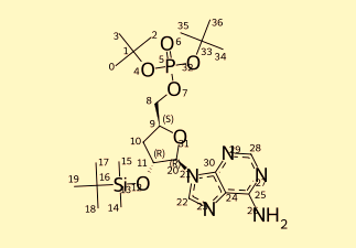 CC(C)(C)OP(=O)(OC[C@@H]1C[C@@H](O[Si](C)(C)C(C)(C)C)[C@H](n2cnc3c(N)ncnc32)O1)OC(C)(C)C